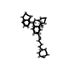 c1cc2c(c([C@H]3CN4CCC[C@H]4c4cc(OCCCN5CCOCC5)ccc43)c1)SCC2